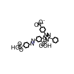 O=[N+]([O-])c1ccc(-n2nc(-c3ccccc3)n[n+]2-c2ccc(/N=N/c3ccc(S(=O)(=O)O)cc3)cc2S(=O)(=O)O)cc1